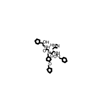 O=C(CN(Cc1ccc(OCc2ccccc2)cc1)C(=O)[C@H](Cc1cnc[nH]1)NC(=O)OCc1ccccc1)NCC(O)c1ccccc1